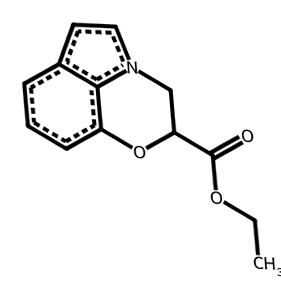 CCOC(=O)C1Cn2ccc3cccc(c32)O1